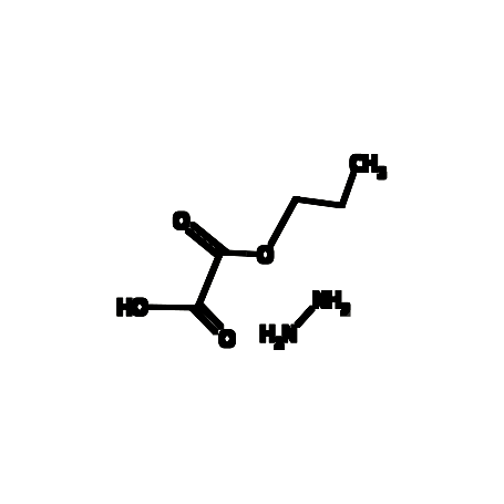 CCCOC(=O)C(=O)O.NN